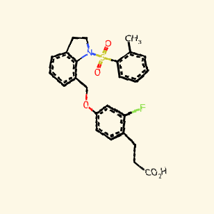 Cc1ccccc1S(=O)(=O)N1CCc2cccc(COc3ccc(CCC(=O)O)c(F)c3)c21